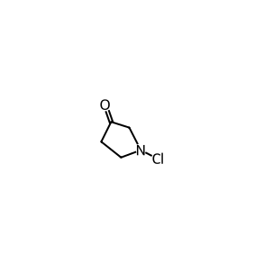 O=C1CCN(Cl)C1